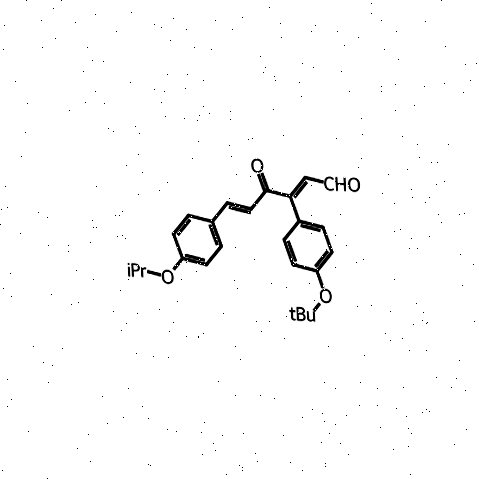 CC(C)Oc1ccc(C=CC(=O)C(=CC=O)c2ccc(OC(C)(C)C)cc2)cc1